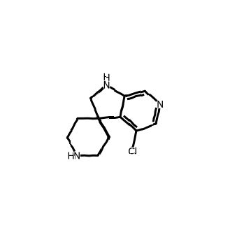 Clc1cncc2c1C1(CCNCC1)CN2